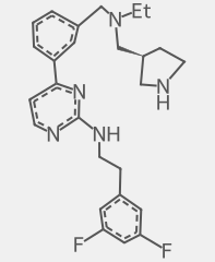 CCN(Cc1cccc(-c2ccnc(NCCc3cc(F)cc(F)c3)n2)c1)C[C@H]1CCNC1